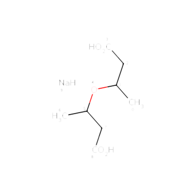 CC(CC(=O)O)OC(C)CC(=O)O.[NaH]